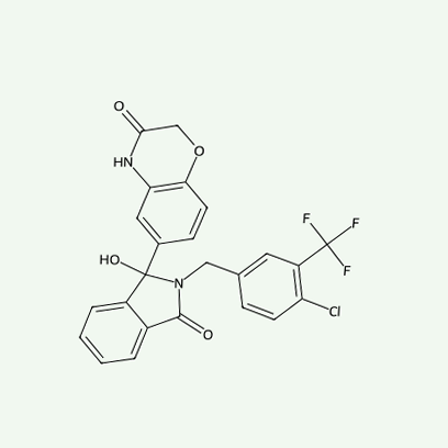 O=C1COc2ccc(C3(O)c4ccccc4C(=O)N3Cc3ccc(Cl)c(C(F)(F)F)c3)cc2N1